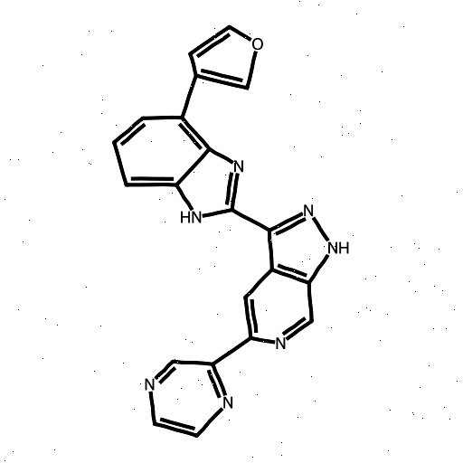 c1cc(-c2ccoc2)c2nc(-c3n[nH]c4cnc(-c5cnccn5)cc34)[nH]c2c1